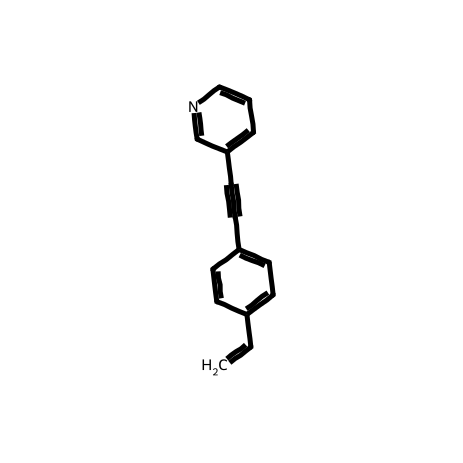 C=Cc1ccc(C#Cc2cccnc2)cc1